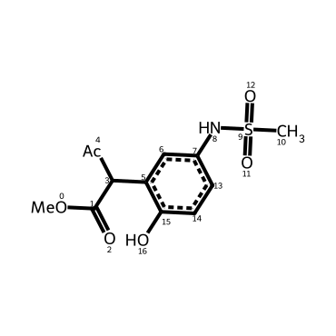 COC(=O)C(C(C)=O)c1cc(NS(C)(=O)=O)ccc1O